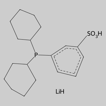 O=S(=O)(O)c1cccc(P(C2CCCCC2)C2CCCCC2)c1.[LiH]